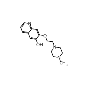 CN1CCN(CCOc2cc3ncccc3cc2O)CC1